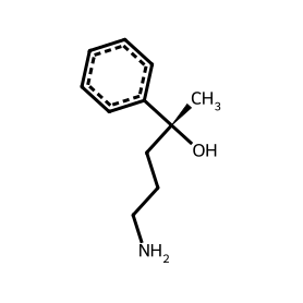 C[C@@](O)(CCCN)c1ccccc1